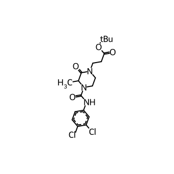 CC1C(=O)N(CCC(=O)OC(C)(C)C)CCN1C(=O)Nc1ccc(Cl)c(Cl)c1